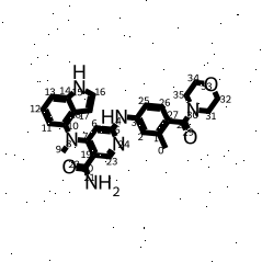 Cc1cc(Nc2cc(N(C)c3cccc4[nH]ccc34)c(C(N)=O)cn2)ccc1C(=O)N1CCOCC1